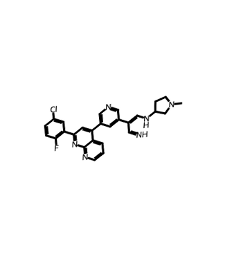 CN1CCC(N/C=C(\C=N)c2cncc(-c3cc(-c4cc(Cl)ccc4F)nc4ncccc34)c2)C1